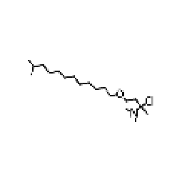 CC(C)CCCCCCCCCCOCCC(C)(Cl)N(C)C